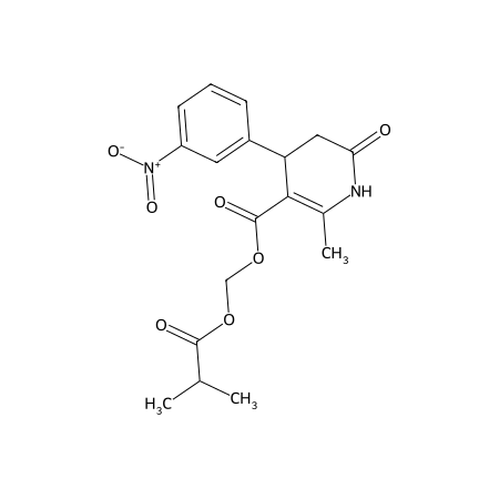 CC1=C(C(=O)OCOC(=O)C(C)C)C(c2cccc([N+](=O)[O-])c2)CC(=O)N1